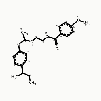 CCC(C)c1ccc(OC(C)OCCOC(=O)c2ccc(OC)cc2)cc1